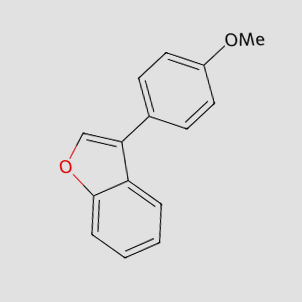 COc1ccc(-c2coc3ccccc23)cc1